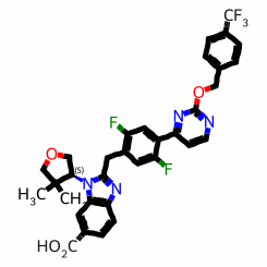 CC1(C)COC[C@H]1n1c(Cc2cc(F)c(-c3ccnc(OCc4ccc(C(F)(F)F)cc4)n3)cc2F)nc2ccc(C(=O)O)cc21